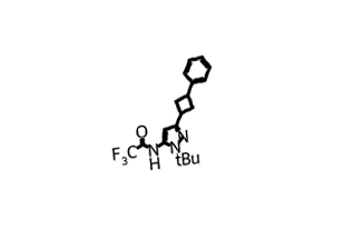 CC(C)(C)n1nc(C2CC(c3ccccc3)C2)cc1NC(=O)C(F)(F)F